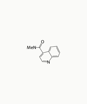 [CH2+][N-]C(=O)c1ccnc2ccccc12